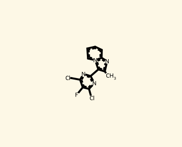 Cc1nc2ccccn2c1-c1nc(Cl)c(F)c(Cl)n1